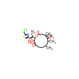 CC(=Cc1csc(CCl)n1)C1OC(=O)CCC(C)(C)C(=O)C(C)CC(C)CCCC2OC2(O)C1O